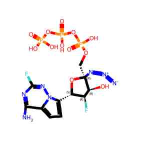 [N-]=[N+]=N[C@]1(COP(=O)(O)OP(=O)(O)OP(=O)(O)O)O[C@@H](c2ccc3c(N)nc(F)nn23)[C@H](F)[C@@H]1O